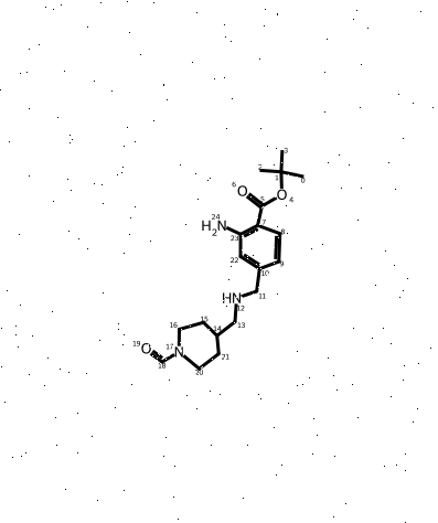 CC(C)(C)OC(=O)c1ccc(CNCC2CCN(C=O)CC2)cc1N